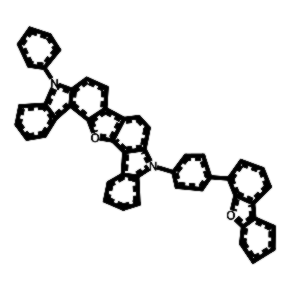 c1ccc(-n2c3ccccc3c3c4oc5c(ccc6c5c5ccccc5n6-c5ccc(-c6cccc7c6oc6ccccc67)cc5)c4ccc32)cc1